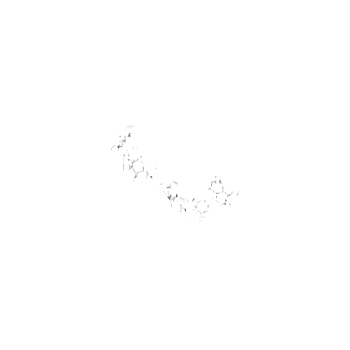 COc1cc(-c2cn(C)c(=O)c3cnccc23)cc(F)c1CN1CCC(NC(=O)C2CCN(c3ccc(NC4CCC(=O)NC4=O)cc3Cl)CC2)CC1